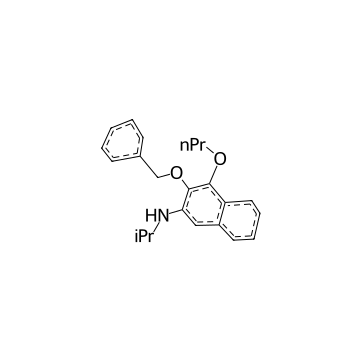 CCCOc1c(OCc2ccccc2)c(NC(C)C)cc2ccccc12